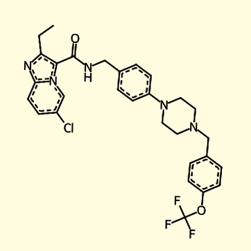 CCc1nc2ccc(Cl)cn2c1C(=O)NCc1ccc(N2CCN(Cc3ccc(OC(F)(F)F)cc3)CC2)cc1